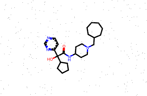 O=C(NC1CCN(CC2CCCCCC2)CC1)C(O)(c1ccncn1)C1CCCC1